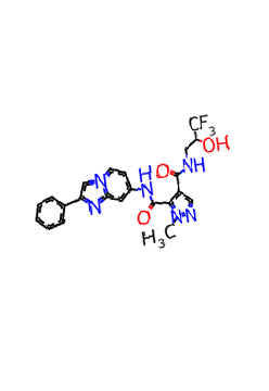 Cn1ncc(C(=O)NCC(O)C(F)(F)F)c1C(=O)Nc1ccn2cc(-c3ccccc3)nc2c1